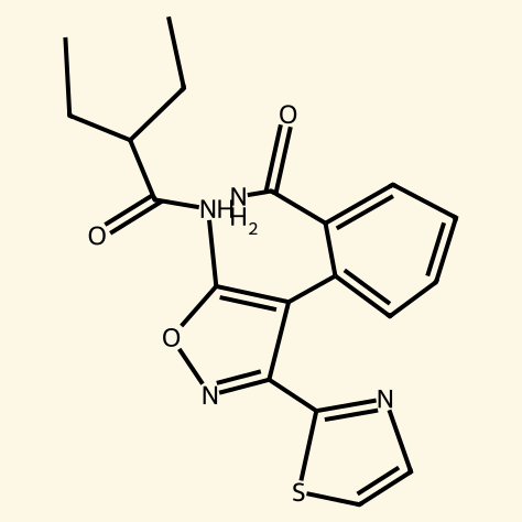 CCC(CC)C(=O)Nc1onc(-c2nccs2)c1-c1ccccc1C(N)=O